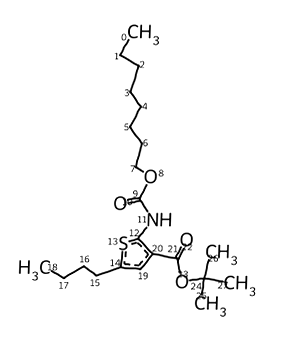 CCCCCCCCOC(=O)Nc1sc(CCCC)cc1C(=O)OC(C)(C)C